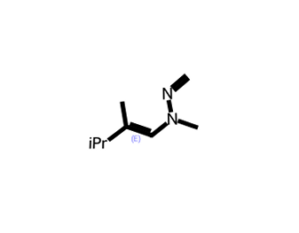 C=NN(C)/C=C(\C)C(C)C